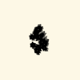 c1ccc(-c2nc(-n3c4cccc5ccc6cc(-c7ccc8c(c7)c7ccccc7n8-c7ccccc7)cc3c6c54)nc3ccccc23)cc1